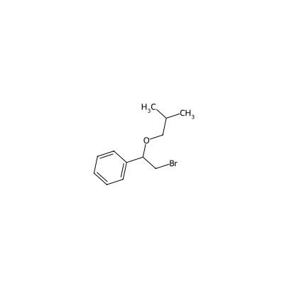 CC(C)COC(CBr)c1ccccc1